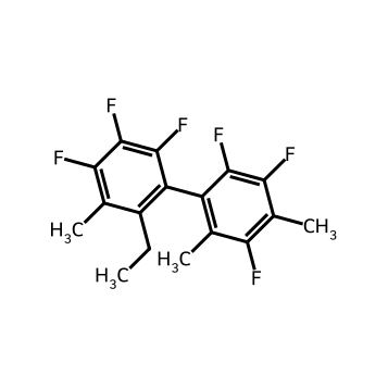 CCc1c(C)c(F)c(F)c(F)c1-c1c(C)c(F)c(C)c(F)c1F